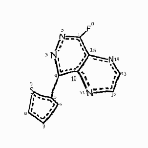 Fc1nnc(-c2cccs2)c2nccnc12